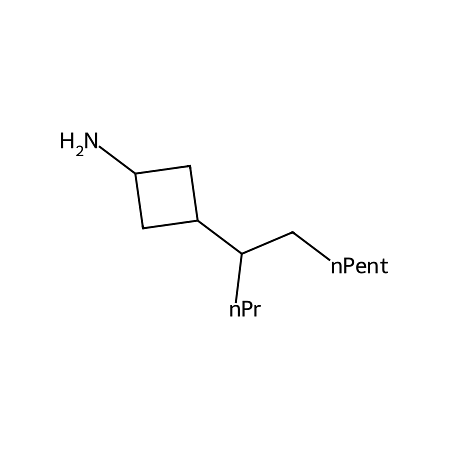 CCCCCCC(CCC)C1CC(N)C1